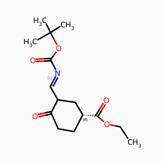 CCOC(=O)[C@@H]1CCC(=O)C(/C=N/C(=O)OC(C)(C)C)C1